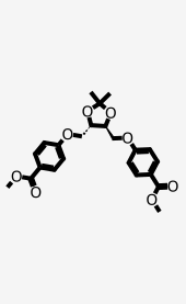 COC(=O)c1ccc(OC[C@@H]2OC(C)(C)O[C@H]2COc2ccc(C(=O)OC)cc2)cc1